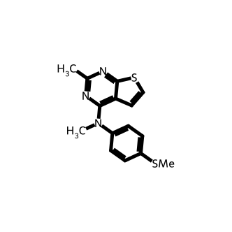 CSc1ccc(N(C)c2nc(C)nc3sccc23)cc1